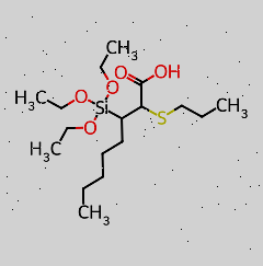 CCCCCC(C(SCCC)C(=O)O)[Si](OCC)(OCC)OCC